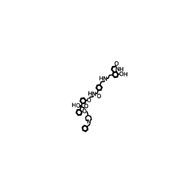 O=C(NCCOc1cccc([C@@](O)(C(=O)OCC2CCN(Cc3ccccc3)CC2)c2ccccc2)c1)c1ccc(CCNCCc2ccc(O)c3[nH]c(=O)ccc23)cc1